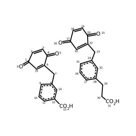 O=C1C=CC(=O)C(Cc2cccc(C(=O)O)c2)=C1.O=C1C=CC(=O)C(Cc2cccc(CCC(=O)O)c2)=C1